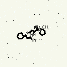 CC(C)c1cc(C2CCCCC2)nc2cc(C(=O)N3CCCCC3(C)C)nn12